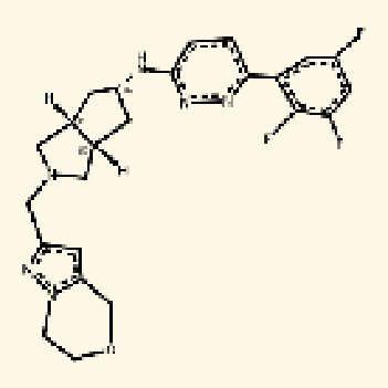 Fc1cc(F)c(F)c(-c2ccc(N[C@@H]3C[C@@H]4CN(Cc5cc6n(n5)CCOC6)C[C@@H]4C3)nn2)c1